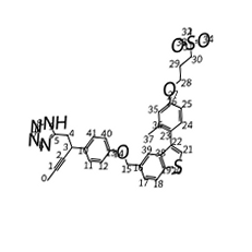 CC#CC(Cc1nnn[nH]1)c1ccc(OCc2ccc3scc(-c4ccc(OCCCS(C)(=O)=O)cc4C)c3c2)cc1